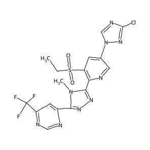 CCS(=O)(=O)c1cc(-n2cnc(Cl)n2)cnc1-c1nnc(-c2cc(C(F)(F)F)ncn2)n1C